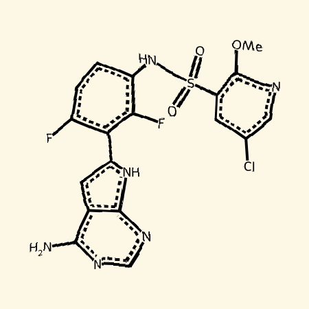 COc1ncc(Cl)cc1S(=O)(=O)Nc1ccc(F)c(-c2cc3c(N)ncnc3[nH]2)c1F